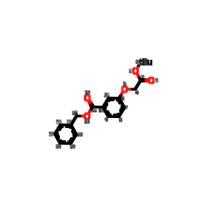 CC(C)(C)OC(=O)COc1cccc(C(=O)OCc2ccccc2)c1